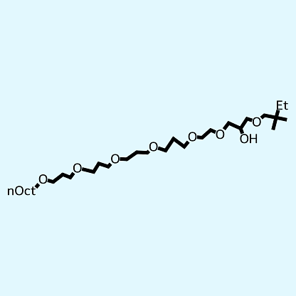 CCCCCCCCOCCCOCCCOCCCOCCCOCCOCC(O)COCC(C)(C)CC